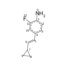 Nc1ccc(C=CC2CC2)cc1F